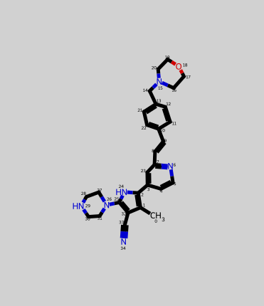 Cc1c(-c2ccnc(C=Cc3ccc(CN4CCOCC4)cc3)c2)[nH]c(N2CCNCC2)c1C#N